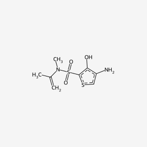 C=C(C)N(C)S(=O)(=O)c1scc(N)c1O